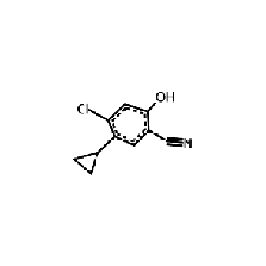 N#Cc1cc(C2CC2)c(Cl)cc1O